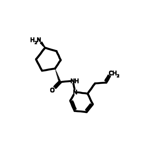 C=CCC1C=CC=CN1NC(=O)[C@H]1CC[C@H](N)CC1